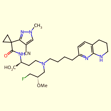 CO[C@H](CF)CN(CCCCc1ccc2c(n1)NCCC2)CC[C@H](NC(=O)C1(c2nn(C)cc2C#N)CC1)C(=O)O